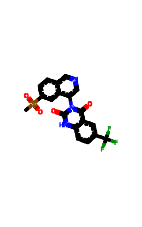 CS(=O)(=O)c1ccc2cncc(-n3c(=O)[nH]c4ccc(C(F)(F)F)cc4c3=O)c2c1